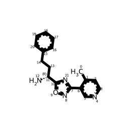 Cc1ccncc1-c1noc([C@H](N)CCc2ccccc2)n1